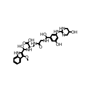 COc1c(C(O)N[C@@H](CNC(=O)CNC(O)c2cc(O)cc(NC3=NCC(O)CN3)c2)C(=O)O)[nH]c2ccccc12